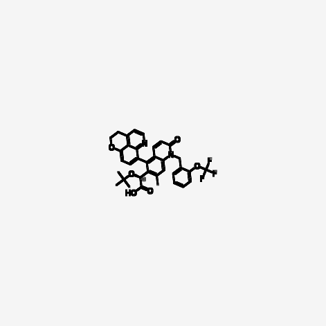 Cc1cc2c(ccc(=O)n2Cc2ccccc2OC(F)(F)F)c(-c2ccc3c4c(ccnc24)CCO3)c1[C@H](OC(C)(C)C)C(=O)O